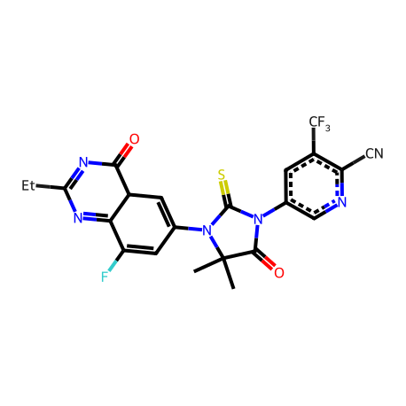 CCC1=NC(=O)C2C=C(N3C(=S)N(c4cnc(C#N)c(C(F)(F)F)c4)C(=O)C3(C)C)C=C(F)C2=N1